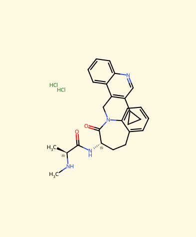 CN[C@@H](C)C(=O)N[C@H]1CCc2ccccc2N(Cc2c(C3CC3)cnc3ccccc23)C1=O.Cl.Cl